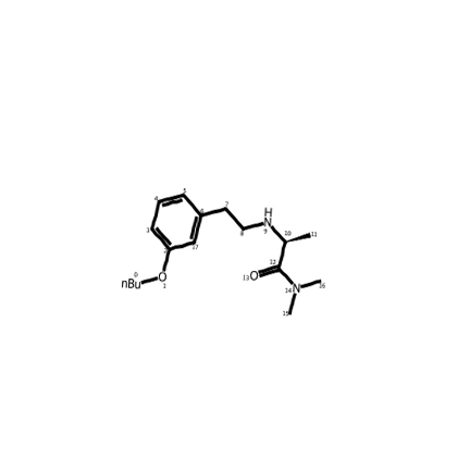 CCCCOc1cccc(CCN[C@@H](C)C(=O)N(C)C)c1